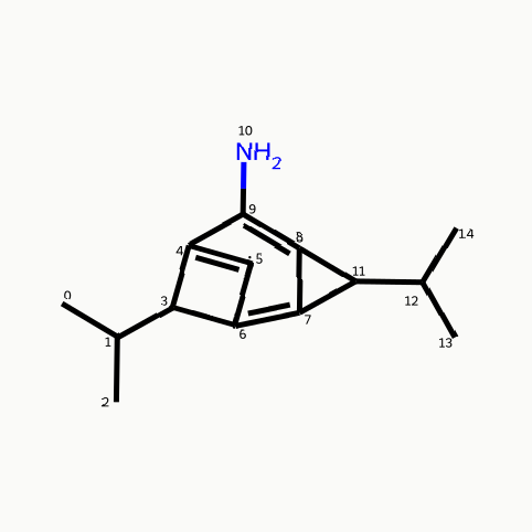 CC(C)C1c2[c]c1c1c(c2N)C1C(C)C